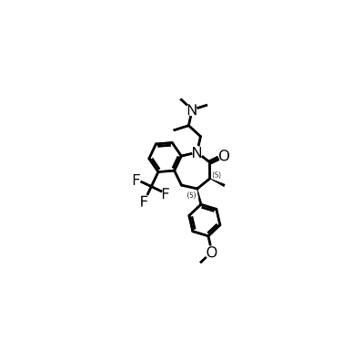 COc1ccc([C@H]2Cc3c(cccc3C(F)(F)F)N(CC(C)N(C)C)C(=O)[C@H]2C)cc1